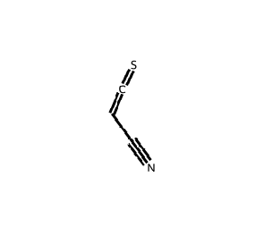 N#CC=C=S